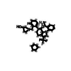 NCc1ccccc1-n1nc(C(F)(F)F)c2c1C(=O)N(c1cc[c]c(F)c1CN1CCC(O)C1)CC2.[c]1ccccc1